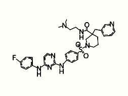 CN(C)CCNC(=O)C1(Cc2cccnc2)CCCN(S(=O)(=O)c2ccc(Nc3nccc(Nc4ccc(F)cc4)n3)cc2)C1